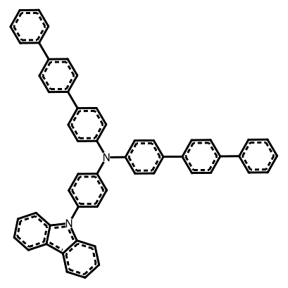 c1ccc(-c2ccc(-c3ccc(N(c4ccc(-c5ccc(-c6ccccc6)cc5)cc4)c4ccc(-n5c6ccccc6c6ccccc65)cc4)cc3)cc2)cc1